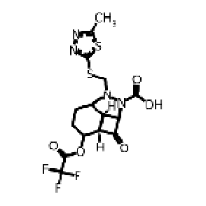 Cc1nnc(SCN2C3CCC(OC(=O)C(F)(F)F)[C@H]4C(=O)C([C@@H]34)N2C(=O)O)s1